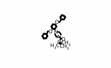 CC(C)(C)OC(=O)N1CCN(c2cc(OCc3ccccc3)ccc2OCc2ccccc2)CC1